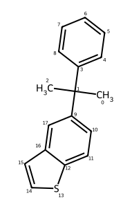 CC(C)(c1ccccc1)c1ccc2sccc2c1